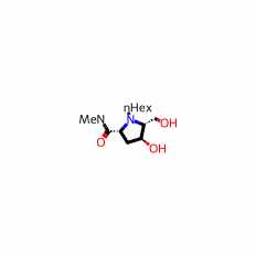 CCCCCCN1[C@@H](C(=O)NC)C[C@H](O)[C@H]1CO